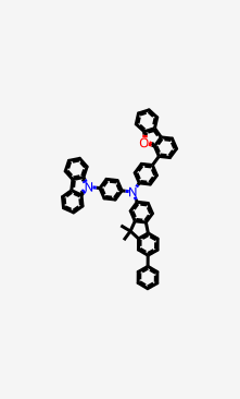 CC1(C)c2cc(-c3ccccc3)ccc2-c2ccc(N(c3ccc(-c4cccc5c4oc4ccccc45)cc3)c3ccc(-n4c5ccccc5c5ccccc54)cc3)cc21